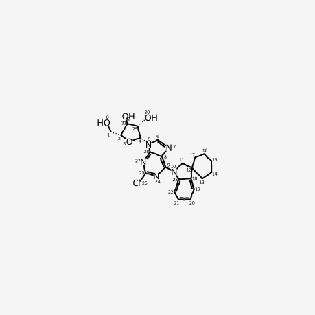 OC[C@H]1O[C@@H](n2cnc3c(N4CC5(CCCCC5)c5ccccc54)nc(Cl)nc32)[C@@H](O)C1O